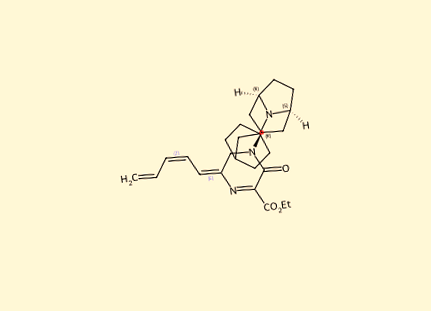 C=C/C=C\C=C1/CN([C@H]2C[C@H]3CC[C@@H](C2)N3C23CCC(CC2)C3)C(=O)C(C(=O)OCC)=N1